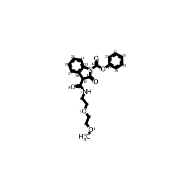 COCCOCCNC(=O)C1C(=O)N(C(=O)Oc2ccccc2)c2ccccc21